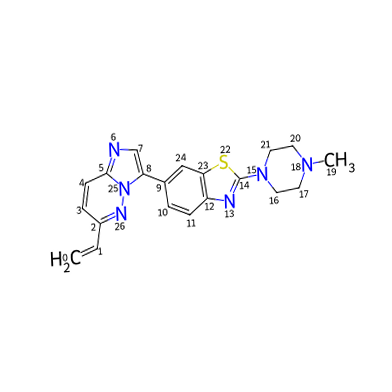 C=Cc1ccc2ncc(-c3ccc4nc(N5CCN(C)CC5)sc4c3)n2n1